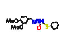 COc1ccc(C=NNC(=O)CSc2ccccc2)cc1OC